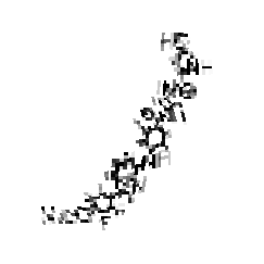 COc1ccc(-c2cnc3c(Nc4ccc(C(=O)N[C@H]5C[C@@H](NC(=O)[C@@H]6C[C@@H](O)CN6)C5)c(C)c4)nccn23)c(F)c1F